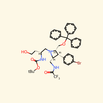 CC(C)(C)OC(=O)N[C@H](CCO)CN1[C@H](COC(c2ccccc2)(c2ccccc2)c2ccccc2)[C@H](c2ccc(Br)cc2)[C@@H]1CNC(=O)C(F)(F)F